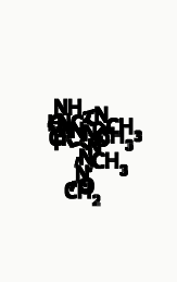 C=CC(=O)N1CCN(c2nc(=O)n(-c3c(C)ccnc3C(C)C)c3nc(-c4nc(N)ccc4Cl)c(F)cc23)[C@@H](C)C1